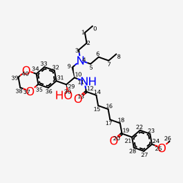 CCCCN(CCCC)C[C@@H](NC(=O)CCCCCC(=O)c1ccc(OC)cc1)[C@@H](O)c1ccc2c(c1)OCCO2